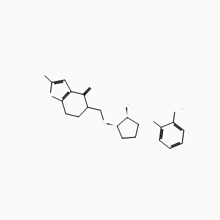 COc1ccccc1O[C@@H]1CC[C@@H](NCC2CCc3sc(C)cc3C2=O)[C@H]1O.Cl